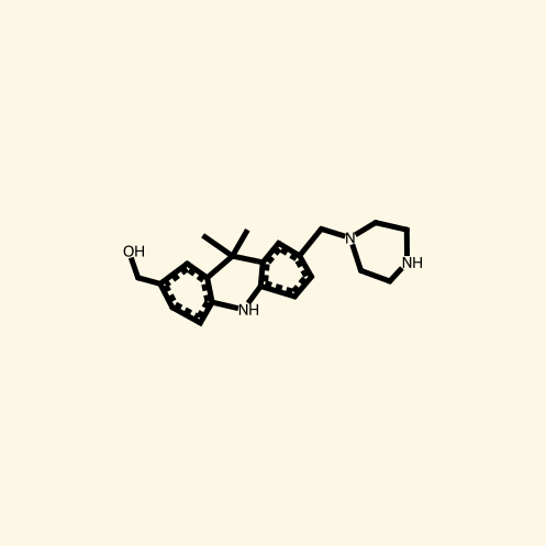 CC1(C)c2cc(CO)ccc2Nc2ccc(CN3CCNCC3)cc21